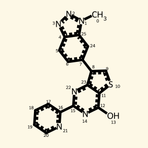 Cn1nnc2ccc(-c3csc4c(O)nc(-c5ccccn5)nc34)cc21